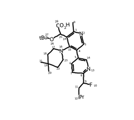 Cc1ncc(-c2ccc(C(F)CC(C)C)nc2)c(N2CCC(C)(C)CC2)c1C(OC(C)(C)C)C(=O)O